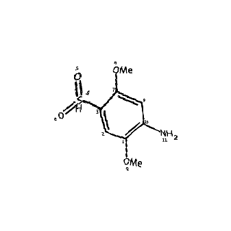 COc1cc([SH](=O)=O)c(OC)cc1N